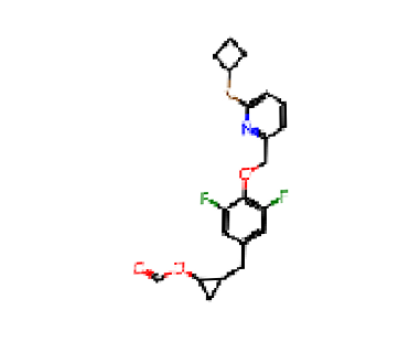 O=COC1CC1Cc1cc(F)c(OCc2cccc(SC3CCC3)n2)c(F)c1